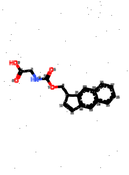 O=C(O)CNC(=O)OCC1C=Cc2cc3ccccc3cc21